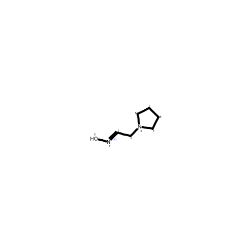 O/N=C/CN1CCCC1